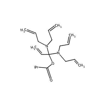 C=CCN(CC=C)C(C=C)(OC(=O)C(C)C)N(CC=C)CC=C